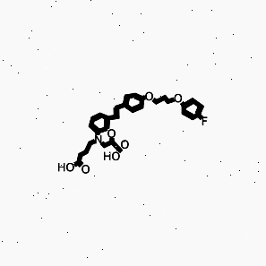 O=C(O)CCCN1CC(C(=O)O)Oc2c(C=Cc3ccc(OCCCOc4ccc(F)cc4)cc3)cccc21